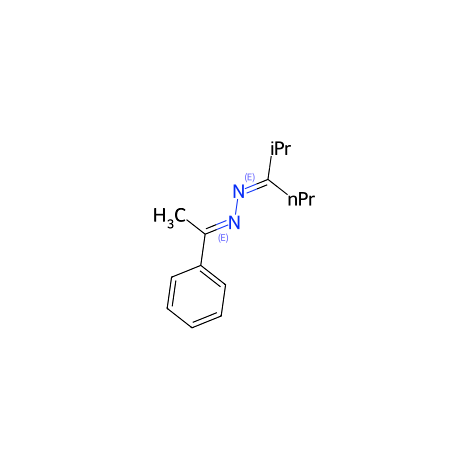 CCC/C(=N\N=C(/C)c1ccccc1)C(C)C